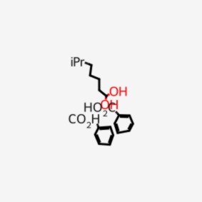 CC(C)CCCCC(O)O.O=C(O)c1ccccc1.O=C(O)c1ccccc1